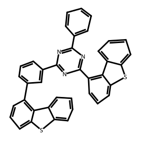 c1ccc(-c2nc(-c3cccc(-c4cccc5sc6ccccc6c45)c3)nc(-c3cccc4sc5ccccc5c34)n2)cc1